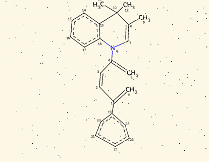 C=C(/C=C\C(=C)N1C=C(C)C(C)(C)c2ccccc21)c1ccccc1